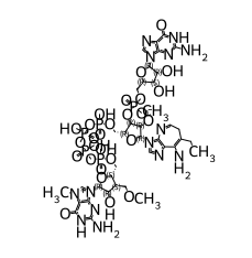 CCC1=C(N)c2ncn([C@@H]3O[C@H](COP(=O)(O)OP(=O)(O)OP(=O)(O)OP(=O)(O)OC[C@H]4O[C@@H](n5c[n+](C)c6c(=O)[nH]c(N)nc65)[C@H](O)[C@@H]4COC)[C@@H](OP(=O)([O-])OC[C@H]4O[C@@H](n5cnc6c(=O)[nH]c(N)nc65)[C@H](O)[C@@H]4O)[C@H]3OC)c2N=CC1